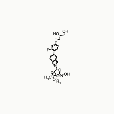 C[C@@](CCn1cc2cc(-c3ccc(OC[C@H](O)CO)cc3F)ccc2n1)(C(=O)NO)S(C)(=O)=O